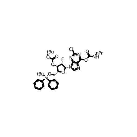 CCCNC(=O)Oc1nc(Cl)nc2c1ncn2[C@@H]1O[C@H](CO[Si](c2ccccc2)(c2ccccc2)C(C)(C)C)[C@@H](OC(=O)OC(C)(C)C)[C@@H]1F